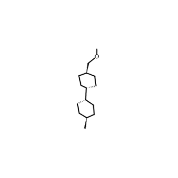 COC[C@H]1CC[C@H]([C@H]2CC[C@H](C)CC2)CC1